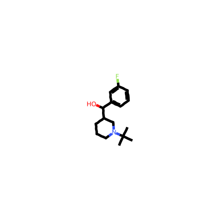 CC(C)(C)N1CCCC(C(O)c2cccc(F)c2)C1